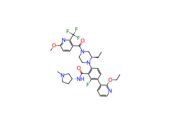 CCOc1ncccc1-c1ccc(N2CCN(C(=O)c3ccc(OC)nc3C(F)(F)F)C[C@H]2CC)c(C(=O)N[C@@H]2CCN(C)C2)c1F